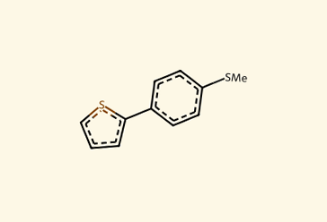 CSc1ccc(-c2cccs2)cc1